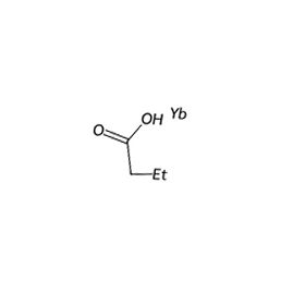 CCCC(=O)O.[Yb]